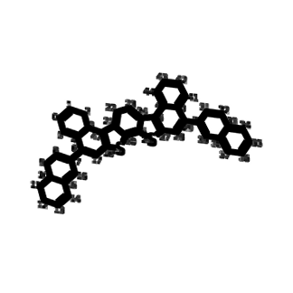 C1=CCC2C(=C1)C(C1=CCC3CCC=CC3=C1)=Cc1sc3c(ccc4c3sc3cc(-c5ccc6ccccc6c5)c5ccccc5c34)c12